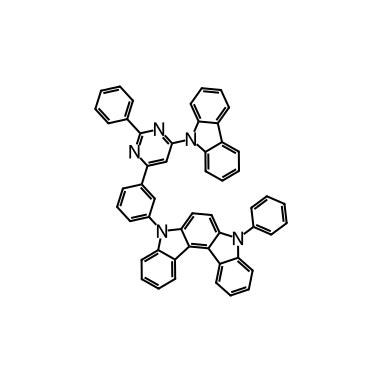 c1ccc(-c2nc(-c3cccc(-n4c5ccccc5c5c6c7ccccc7n(-c7ccccc7)c6ccc54)c3)cc(-n3c4ccccc4c4ccccc43)n2)cc1